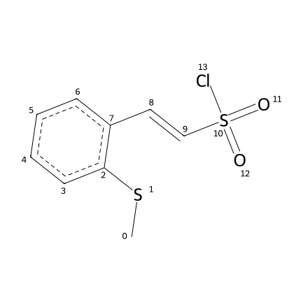 CSc1ccccc1/C=C/S(=O)(=O)Cl